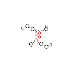 O=C(O[C@@H](CCc1cccnc1)CSc1ccc(-c2cccc(Cl)c2)cc1)C(=O)O[C@@H](CCc1cccnc1)CSc1ccc(-c2cccc(Cl)c2)cc1